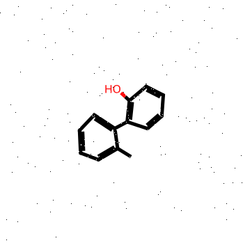 Cc1ccccc1-c1ccc[c]c1O